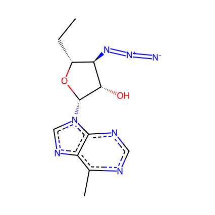 CC[C@H]1O[C@@H](n2cnc3c(C)ncnc32)[C@@H](O)[C@@H]1N=[N+]=[N-]